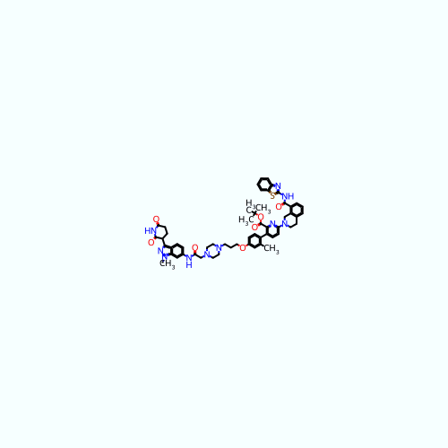 Cc1cc(OCCCN2CCN(CC(=O)Nc3ccc4c(C5CCC(=O)NC5=O)nn(C)c4c3)CC2)ccc1-c1ccc(N2CCc3cccc(C(=O)Nc4nc5ccccc5s4)c3C2)nc1C(=O)OC(C)(C)C